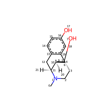 CN1CC[C@@]23CC(O)CC[C@@H]2[C@@H]1Cc1ccc(O)cc13